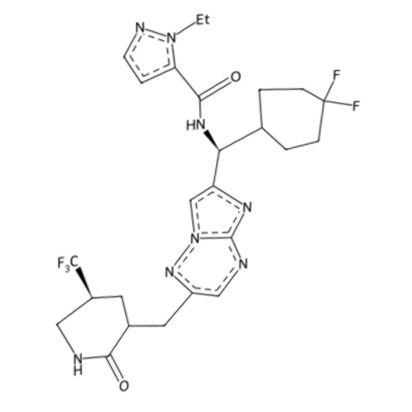 CCn1nccc1C(=O)N[C@H](c1cn2nc(CC3C[C@H](C(F)(F)F)CNC3=O)cnc2n1)C1CCC(F)(F)CC1